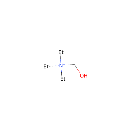 CC[N+](CC)(CC)CO